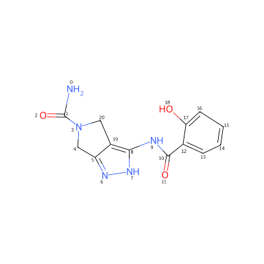 NC(=O)N1Cc2n[nH]c(NC(=O)c3ccccc3O)c2C1